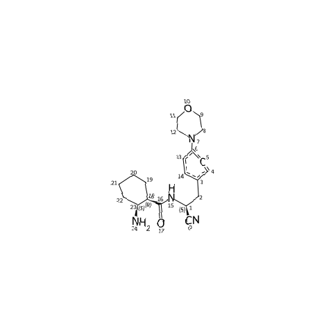 N#C[C@H](Cc1ccc(N2CCOCC2)cc1)NC(=O)[C@@H]1CCCC[C@@H]1N